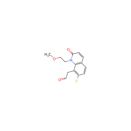 COCCn1c(=O)ccc2ccc(F)c(CC=O)c21